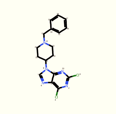 Clc1nc(Cl)c2ncn(C3CCN(Cc4ccccc4)CC3)c2n1